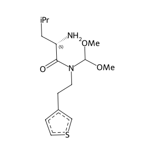 COC(OC)N(CCc1ccsc1)C(=O)[C@@H](N)CC(C)C